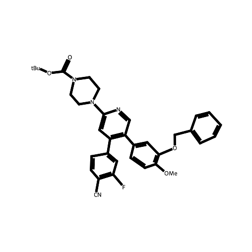 COc1ccc(-c2cnc(N3CCN(C(=O)OC(C)(C)C)CC3)cc2-c2ccc(C#N)c(F)c2)cc1OCc1ccccc1